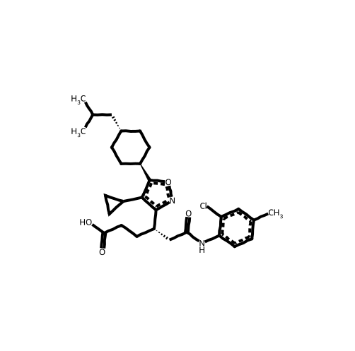 Cc1ccc(NC(=O)C[C@H](CCC(=O)O)c2noc([C@H]3CC[C@H](CC(C)C)CC3)c2C2CC2)c(Cl)c1